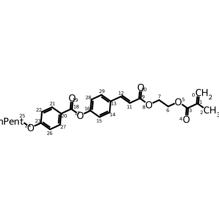 C=C(C)C(=O)OCCOC(=O)/C=C/c1ccc(OC(=O)c2ccc(OCCCCC)cc2)cc1